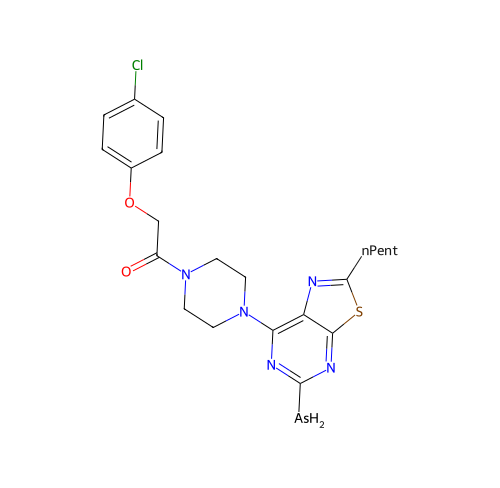 CCCCCc1nc2c(N3CCN(C(=O)COc4ccc(Cl)cc4)CC3)nc([AsH2])nc2s1